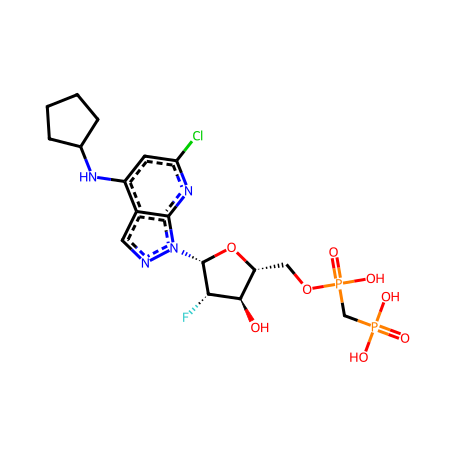 O=P(O)(O)CP(=O)(O)OC[C@H]1O[C@@H](n2ncc3c(NC4CCCC4)cc(Cl)nc32)[C@@H](F)[C@@H]1O